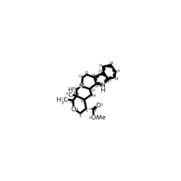 COC(=O)[C@@H]1COC(C)C2(C)CN3CCc4c([nH]c5ccccc45)C3CC12